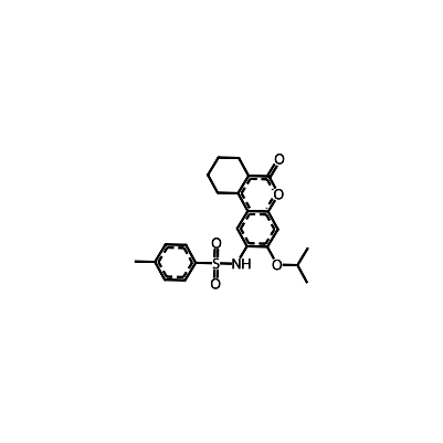 Cc1ccc(S(=O)(=O)Nc2cc3c4c(c(=O)oc3cc2OC(C)C)CCCC4)cc1